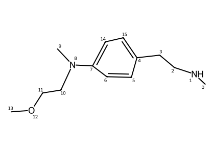 CNCCc1ccc(N(C)CCOC)cc1